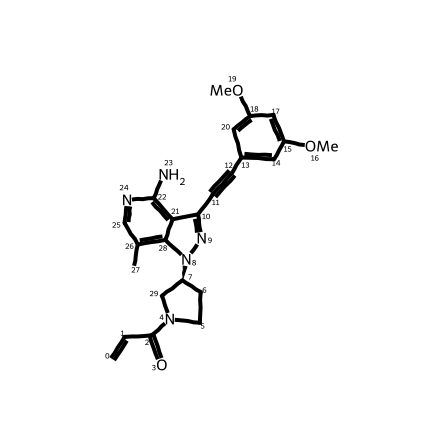 C=CC(=O)N1CC[C@H](n2nc(C#Cc3cc(OC)cc(OC)c3)c3c(N)ncc(C)c32)C1